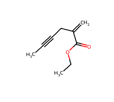 C=C(CC#CC)C(=O)OCC